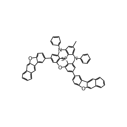 Cc1cc2c3c(c1)N(c1ccccc1)c1cc(-c4ccc5oc6cc7ccccc7cc6c5c4)cc4c1P3(=S)c1c(cc(-c3ccc5oc6cc7ccccc7cc6c5c3)cc1N2c1ccccc1)O4